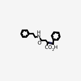 O=C(C/C(=C\c1ccccc1)C(=O)O)NCCc1ccccc1